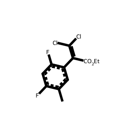 CCOC(=O)C(=C(Cl)Cl)c1cc(C)c(F)cc1F